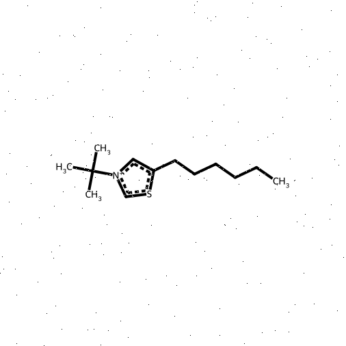 CCCCCCc1c[n+](C(C)(C)C)cs1